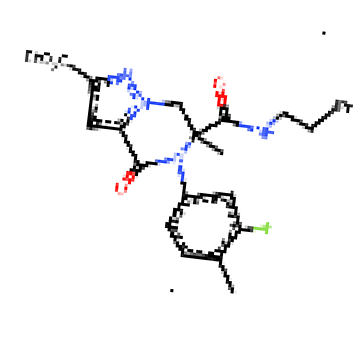 CCOC(=O)c1cc2n(n1)CC(C)(C(=O)NCCC(C)C)N(c1ccc(C)c(F)c1)C2=O